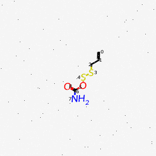 C=CCSSOC(N)=O